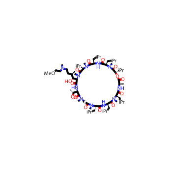 COCCN(C)CC[C@@H](C)[C@@H](O)[C@@H]1C(=O)N[C@H]([C@@H](C)O)C(=O)N(C)CC(=O)N(C)[C@@H](CC(C)C)C(=O)N[C@H](CC(C)C)C(=O)N(C)[C@H](CC(C)C)C(=O)N[C@H](C)C(=O)O[C@@H](C(C)C)C(=O)N(C)[C@H](CC(C)C)C(=O)N[C@H](CC(C)C)C(=O)N(C)[C@H](C(C)C)C(=O)N1C